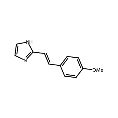 COc1ccc(C=Cc2ncc[nH]2)cc1